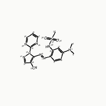 CN(C)c1ccc(/N=N/c2c(C#N)cnn2-c2ncccn2)c(NS(C)(=O)=O)c1